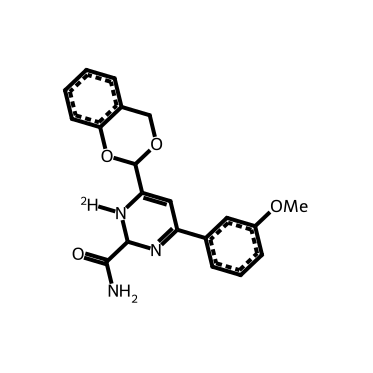 [2H]N1C(C2OCc3ccccc3O2)=CC(c2cccc(OC)c2)=NC1C(N)=O